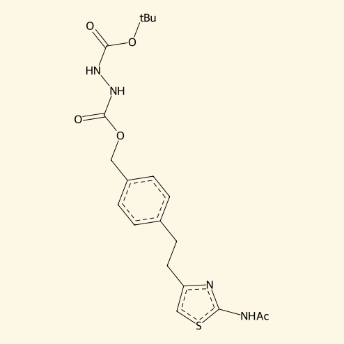 CC(=O)Nc1nc(CCc2ccc(COC(=O)NNC(=O)OC(C)(C)C)cc2)cs1